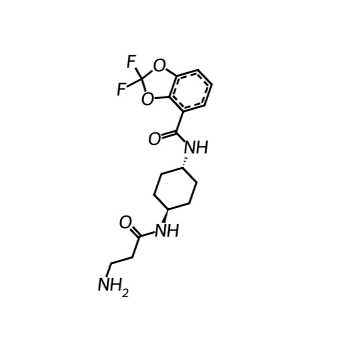 NCCC(=O)N[C@H]1CC[C@H](NC(=O)c2cccc3c2OC(F)(F)O3)CC1